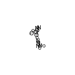 CCOc1cccc(C2(Cn3ccnc3)OCC(COc3ccc(N4CCN(c5nc6ccccc6n5Cc5ccccc5)CC4)cc3)O2)c1